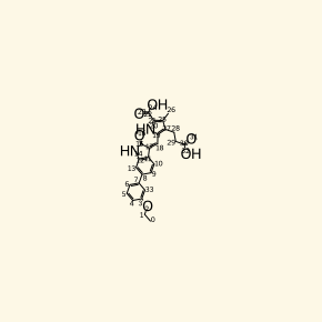 CCOc1cccc(-c2ccc3c(c2)NC(=O)C3=Cc2[nH]c(C(=O)O)c(C)c2CCC(=O)O)c1